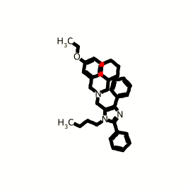 CCCCn1c(-c2ccccc2)nc(-c2ccccc2)c1CN(Cc1cccc(OCC)c1)CC1CCCCC1